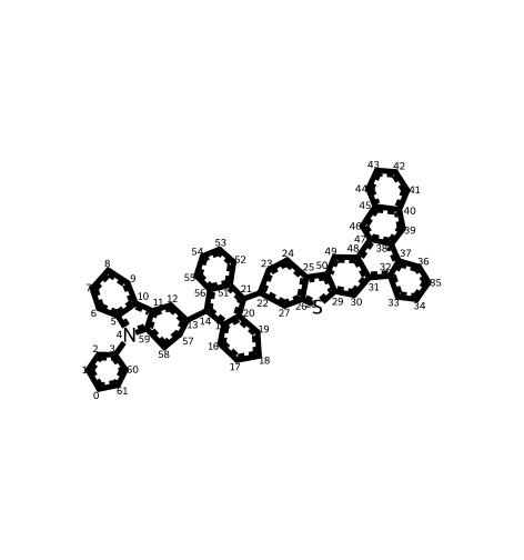 c1ccc(-n2c3ccccc3c3cc(-c4c5ccccc5c(-c5ccc6c(c5)sc5cc7c8ccccc8c8cc9ccccc9cc8c7cc56)c5ccccc45)ccc32)cc1